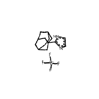 F[B-](F)(F)F.c1c[nH]c(C23CC4CC(CC(C4)C2)C3)n1